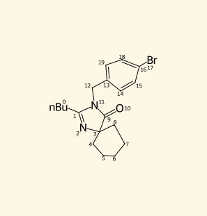 CCCCC1=NC2(CCCCC2)C(=O)N1Cc1ccc(Br)cc1